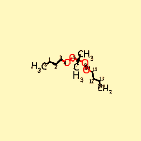 CCCCOOC(C)(C)OOCCCC